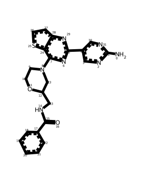 Nc1ncc(-c2nc(N3CCOC(CNC(=O)c4ccccc4)C3)c3sccc3n2)cn1